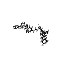 CN(CCCc1ccc(CNC(=O)OC(C)(C)C)nc1)CCNS(=O)(=O)c1cc2ccccc2s1